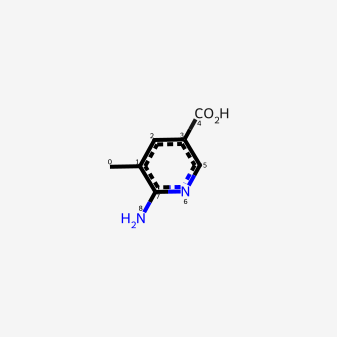 Cc1cc(C(=O)O)cnc1N